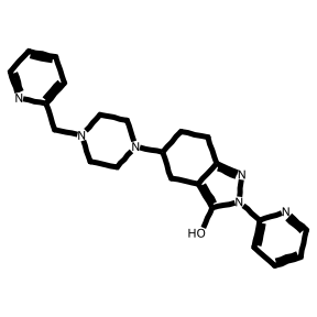 Oc1c2c(nn1-c1ccccn1)CCC(N1CCN(Cc3ccccn3)CC1)C2